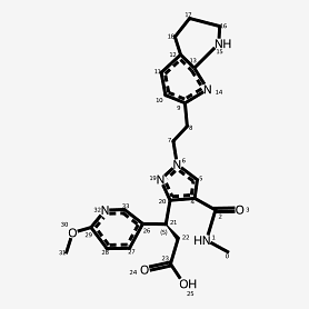 CNC(=O)c1cn(CCc2ccc3c(n2)NCCC3)nc1[C@@H](CC(=O)O)c1ccc(OC)nc1